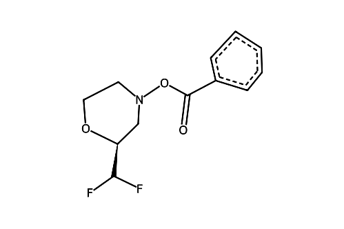 O=C(ON1CCO[C@H](C(F)F)C1)c1ccccc1